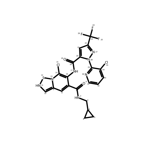 O=C(NCC1CC1)C1=CC2=CNSN2C(Cl)=C1NC(=O)c1cc(C(F)(F)F)nn1-c1ncccc1Cl